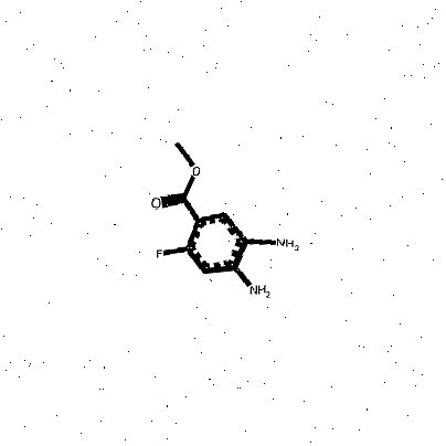 COC(=O)c1cc(N)c(N)cc1F